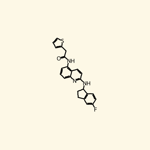 O=C(Cc1cccs1)Nc1cccc2nc(NC3CCc4cc(F)ccc43)ccc12